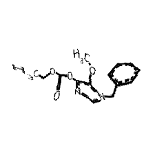 CCOC(=O)Oc1ncn(Cc2ccccc2)c1OC